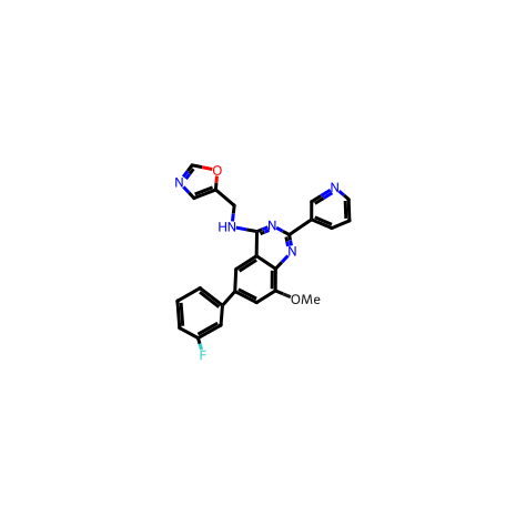 COc1cc(-c2cccc(F)c2)cc2c(NCc3cnco3)nc(-c3cccnc3)nc12